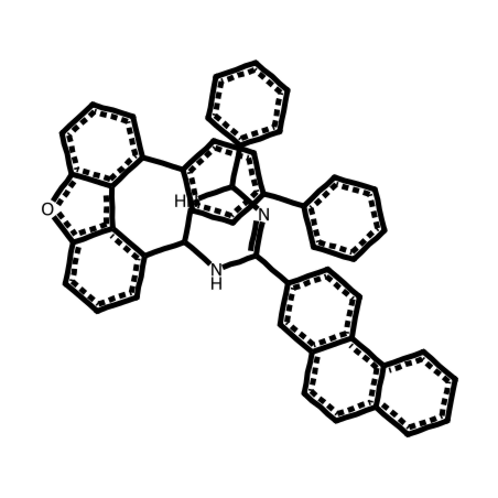 c1ccc(-c2ccc(-c3cccc4oc5cccc(C6NC(c7ccc8c(ccc9ccccc98)c7)=NC(c7ccccc7)N6)c5c34)cc2)cc1